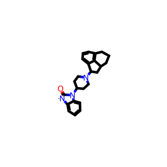 O=C1[N]c2ccccc2N1C1CCN(C2CC3CCCc4cccc2c43)CC1